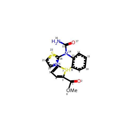 COC(=O)C1=CC=C[SH]1c1ccccc1N(C(N)=O)c1nccs1